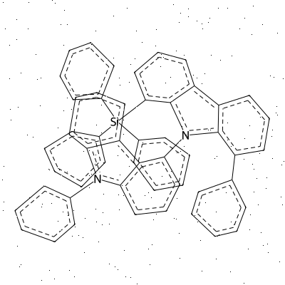 c1ccc(-c2cccc3c4cccc([Si](c5ccccc5)(c5ccccc5)c5ccccc5)c4n(-c4cccc5c4c4ccccc4n5-c4ccccc4)c23)cc1